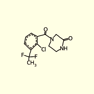 CC(F)(F)c1cccc(C(=O)N2CCNC(=O)C2)c1Cl